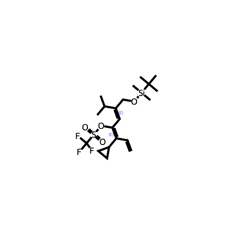 C=C/C(=C(\C=C(\CO[Si](C)(C)C(C)(C)C)C(C)C)OS(=O)(=O)C(F)(F)F)C1CC1